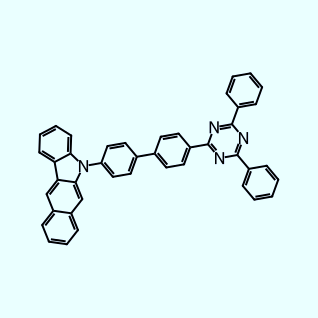 c1ccc(-c2nc(-c3ccccc3)nc(-c3ccc(-c4ccc(-n5c6ccccc6c6cc7ccccc7cc65)cc4)cc3)n2)cc1